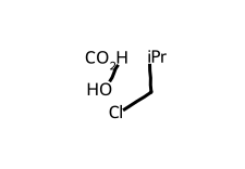 CC(C)CCl.O=C(O)O